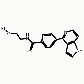 CCOCCNC(=O)c1ccc(-c2nccc3[nH]ccc23)cc1